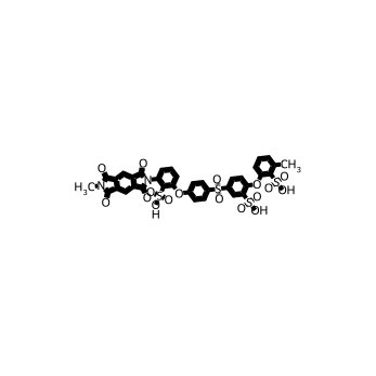 Cc1cccc(Oc2ccc(S(=O)(=O)c3ccc(Oc4cccc(-n5c(=O)c6cc7c(=O)n(C)c(=O)c7cc6c5=O)c4S(=O)(=O)O)cc3)cc2S(=O)(=O)O)c1S(=O)(=O)O